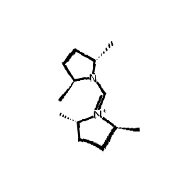 C[C@H]1CC[C@H](C)N1C=[N+]1[C@@H](C)CC[C@@H]1C